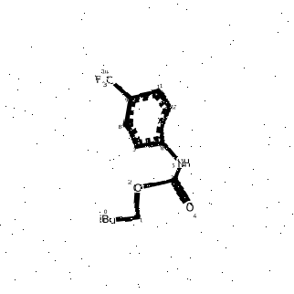 CCC(C)COC(=O)Nc1ccc(C(F)(F)F)cc1